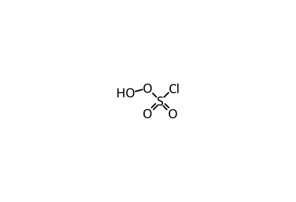 O=S(=O)(Cl)OO